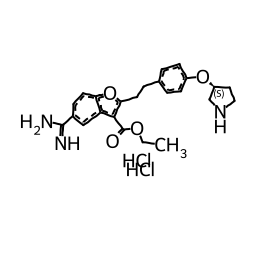 CCOC(=O)c1c(CCc2ccc(O[C@H]3CCNC3)cc2)oc2ccc(C(=N)N)cc12.Cl.Cl